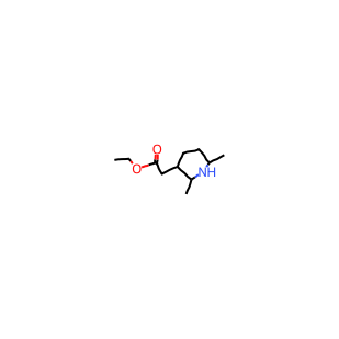 CCOC(=O)CC1CCC(C)NC1C